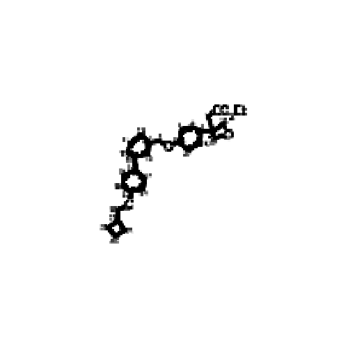 CCOC(=O)CC1(c2ccc(OCc3cccc(-c4ccc(OCC5CCC5)cc4)c3)cc2)COC1